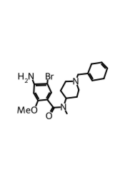 COc1cc(N)c(Br)cc1C(=O)N(C)C1CCN(CC2=CCC=CC2)CC1